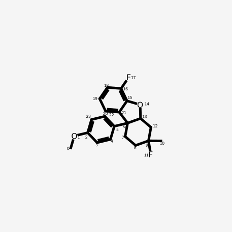 COc1ccc(C23CCC(C)(F)CC2Oc2c(F)cccc23)cc1